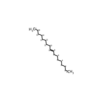 C[CH]CCCCCCC=CCCCCCCCC